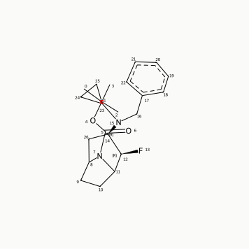 CC(C)(C)OC(=O)N1C2CCC1[C@H](F)[C@H](N(Cc1ccccc1)C1CC1)C2